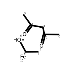 CC(=O)CC(C)=O.CCO.[Fe]